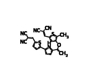 C=C(Oc1cc(C=C(C#N)C#N)sc1C)c1ccc(-c2ccc(C=C(C#N)C#N)s2)[nH]1